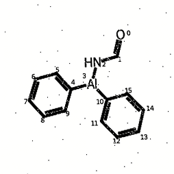 O=C[NH][Al]([c]1ccccc1)[c]1ccccc1